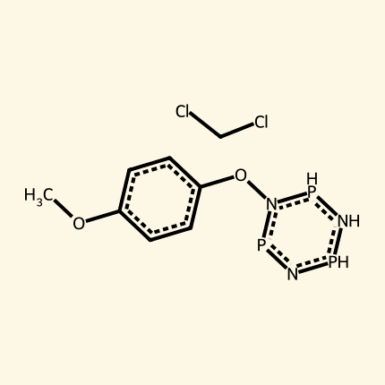 COc1ccc(On2pn[pH][nH][pH]2)cc1.ClCCl